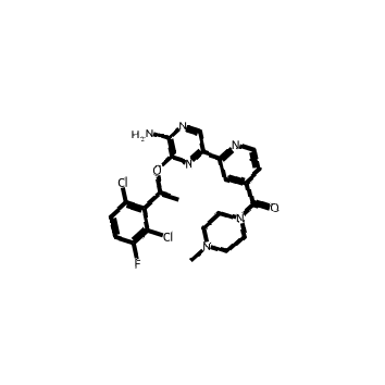 CC(Oc1nc(-c2cc(C(=O)N3CCN(C)CC3)ccn2)cnc1N)c1c(Cl)ccc(F)c1Cl